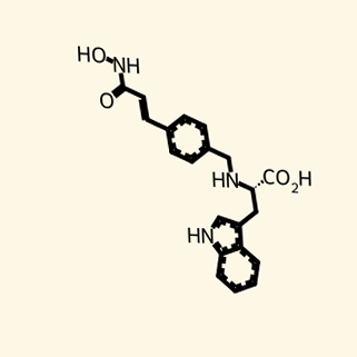 O=C(/C=C/c1ccc(CN[C@@H](Cc2c[nH]c3ccccc23)C(=O)O)cc1)NO